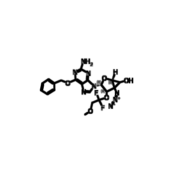 COCC(F)(F)O[C@H]1[C@H](n2cnc3c(OCc4ccccc4)nc(N)nc32)O[C@@H]2C(O)C21N=[N+]=[N-]